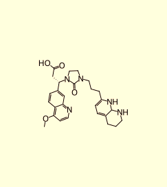 COc1ccnc2cc([C@H](CC(=O)O)N3CCN(CCCC4=CC=C5CCCNC5N4)C3=O)ccc12